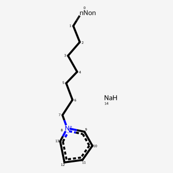 CCCCCCCCCCCCCCCC[n+]1ccccc1.[NaH]